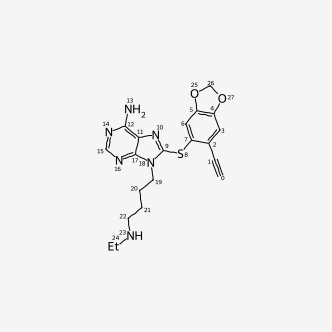 C#Cc1cc2c(cc1Sc1nc3c(N)ncnc3n1CCCCNCC)OCO2